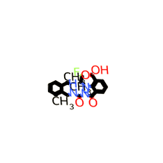 Cc1cccc(C(C)C)c1CNC(=O)n1c(=O)c2cccc(C(=O)O)c2n1CCF